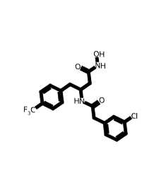 O=C(CC(Cc1ccc(C(F)(F)F)cc1)NC(=O)Cc1cccc(Cl)c1)NO